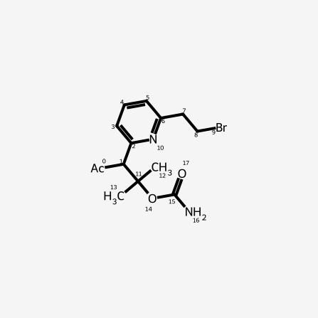 CC(=O)C(c1cccc(CCBr)n1)C(C)(C)OC(N)=O